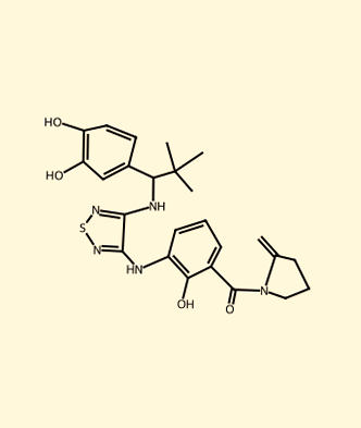 C=C1CCCN1C(=O)c1cccc(Nc2nsnc2NC(c2ccc(O)c(O)c2)C(C)(C)C)c1O